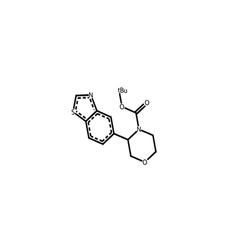 CC(C)(C)OC(=O)N1CCOCC1c1ccc2scnc2c1